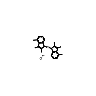 CC1=C(C)[CH]([Ti+2][CH]2C(C)=C(C)c3c(C)cccc32)c2cccc(C)c21.[Cl-].[Cl-]